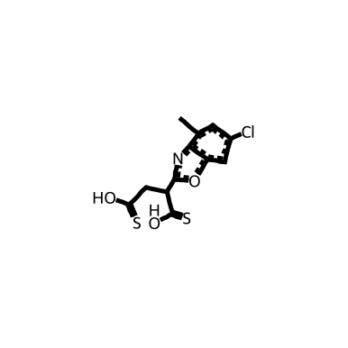 Cc1cc(Cl)cc2oc(C(CC(O)=S)C(O)=S)nc12